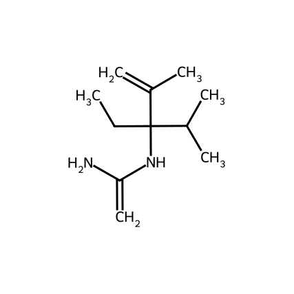 C=C(N)NC(CC)(C(=C)C)C(C)C